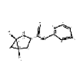 O=C(Nc1cnccn1)[C@@H]1C[C@@H]2C[C@@H]2N1